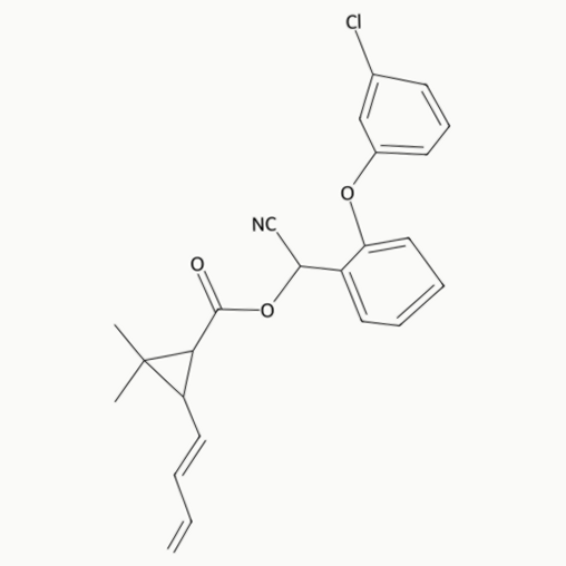 C=CC=CC1C(C(=O)OC(C#N)c2ccccc2Oc2cccc(Cl)c2)C1(C)C